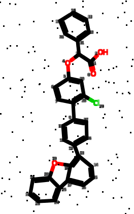 O=C(O)C(Oc1ccc(-c2ccc(-c3cccc4c3oc3ccccc34)cc2)c(Cl)c1)c1ccccc1